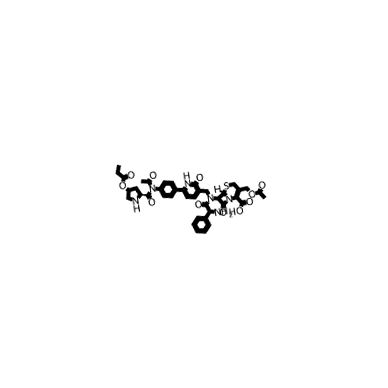 CCC(=O)OC1CN[C@H](C(=O)N(C(C)=O)c2ccc(-c3ccc(CN(C(=O)C(N)c4ccccc4)C4C(=O)N5C(C(=O)O)=C(COC(C)=O)CS[C@@H]45)c(=O)[nH]3)cc2)C1